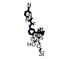 CN(C)C(=O)[C@]12C[C@H]1[C@@](C)(c1cc(/C=C(\F)c3cn4cc(C#N)ccc4n3)ccc1F)N=C(N(COCC[Si](C)(C)C)C(=O)O)S2